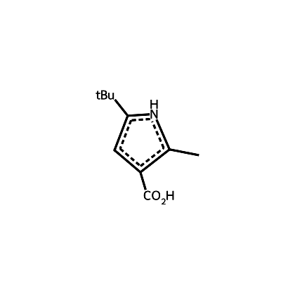 Cc1[nH]c(C(C)(C)C)cc1C(=O)O